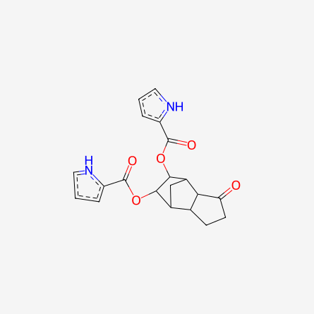 O=C(OC1C2CC(C1OC(=O)c1ccc[nH]1)C1C(=O)CCC21)c1ccc[nH]1